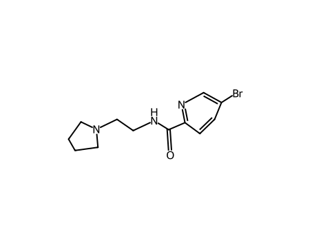 O=C(NCCN1CCCC1)c1ccc(Br)cn1